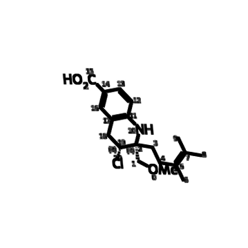 COC[C@@]1(CCC(C)=C(C)C)Nc2ccc(C(=O)O)cc2C[C@H]1Cl